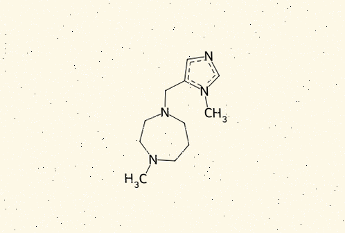 CN1CCCN(Cc2cncn2C)CC1